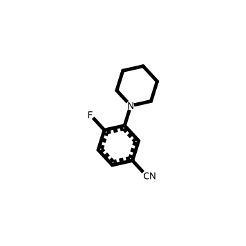 N#Cc1ccc(F)c(N2CCCCC2)c1